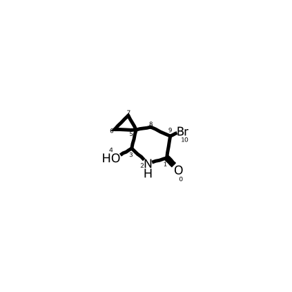 O=C1NC(O)C2(CC2)CC1Br